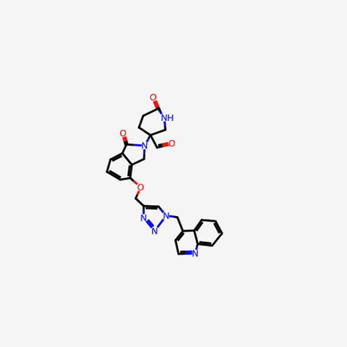 O=CC1(N2Cc3c(OCc4cn(Cc5ccnc6ccccc56)nn4)cccc3C2=O)CCC(=O)NC1